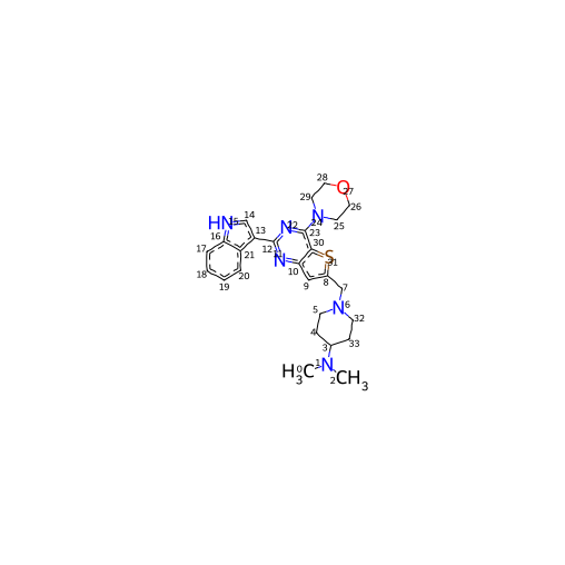 CN(C)C1CCN(Cc2cc3nc(-c4c[nH]c5ccccc45)nc(N4CCOCC4)c3s2)CC1